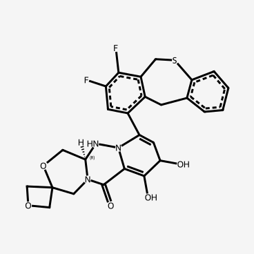 O=C1C2=C(O)C(O)C=C(c3cc(F)c(F)c4c3Cc3ccccc3SC4)N2N[C@@H]2COC3(COC3)CN12